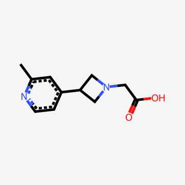 Cc1cc(C2CN(CC(=O)O)C2)ccn1